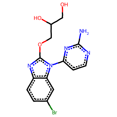 Nc1nccc(-n2c(OCC(O)CO)nc3ccc(Br)cc32)n1